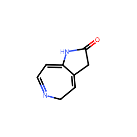 O=C1CC2=CCN=CC=C2N1